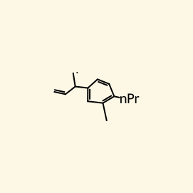 [CH2]C(C=C)c1ccc(CCC)c(C)c1